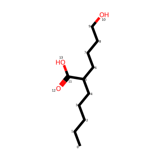 CCCCCC(CCCCO)C(=O)O